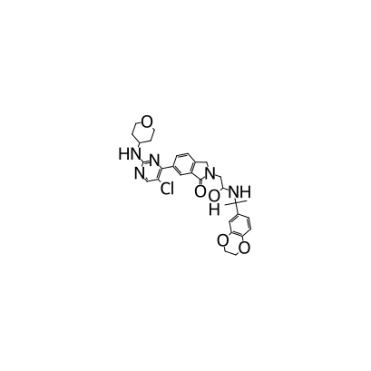 CC(C)(NC(O)CN1Cc2ccc(-c3nc(NC4CCOCC4)ncc3Cl)cc2C1=O)c1ccc2c(c1)OCCO2